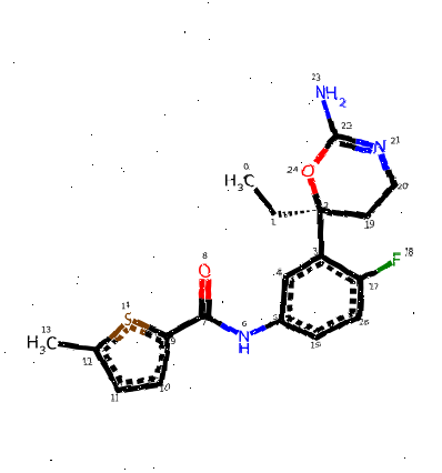 CC[C@@]1(c2cc(NC(=O)c3ccc(C)s3)ccc2F)CCN=C(N)O1